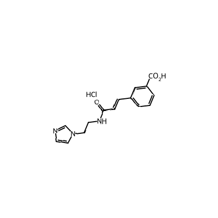 Cl.O=C(/C=C/c1cccc(C(=O)O)c1)NCCn1ccnc1